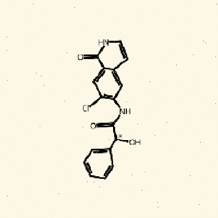 O=C(Nc1cc2cc[nH]c(=O)c2cc1Cl)[C@@H](O)c1ccccc1